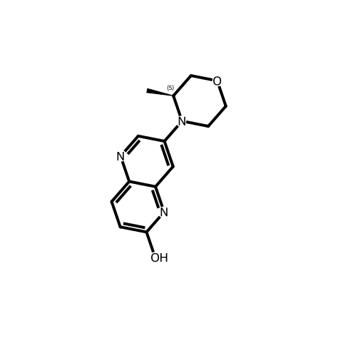 C[C@H]1COCCN1c1cnc2ccc(O)nc2c1